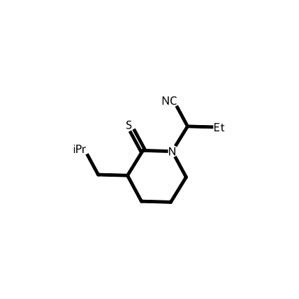 CCC(C#N)N1CCCC(CC(C)C)C1=S